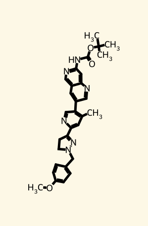 COc1ccc(CN2CCC(c3cc(C)c(-c4cnc5cc(NC(=O)OC(C)(C)C)ncc5c4)cn3)=N2)cc1